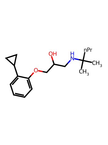 CCCC(C)(C)NCC(O)COc1ccccc1C1CC1